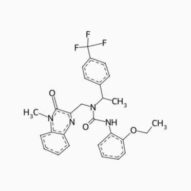 CCOc1ccccc1NC(=O)N(Cc1nc2ccccc2n(C)c1=O)C(C)c1ccc(C(F)(F)F)cc1